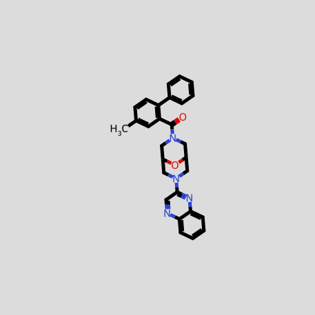 Cc1ccc(-c2ccccc2)c(C(=O)N2CC3CN(c4cnc5ccccc5n4)CC(C2)O3)c1